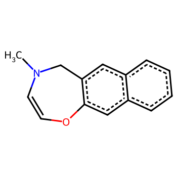 CN1C=COc2cc3ccccc3cc2C1